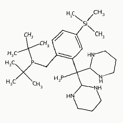 CC(C)(C)P(Cc1ccc([Si](C)(C)C)cc1C(P)(C1NCCCN1)C1NCCCN1)C(C)(C)C